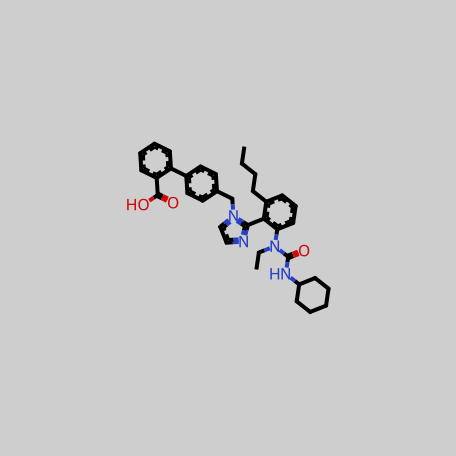 CCCCc1cccc(N(CC)C(=O)NC2CCCCC2)c1-c1nccn1Cc1ccc(-c2ccccc2C(=O)O)cc1